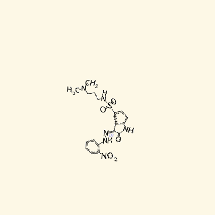 CN(C)CCCNS(=O)(=O)c1ccc2c(c1)/C(=N/Nc1ccccc1[N+](=O)[O-])C(=O)N2